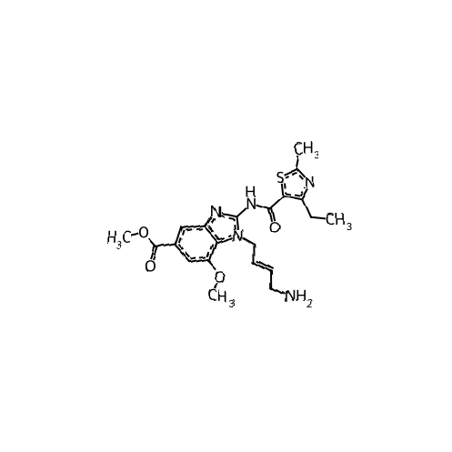 CCc1nc(C)sc1C(=O)Nc1nc2cc(C(=O)OC)cc(OC)c2n1C/C=C/CN